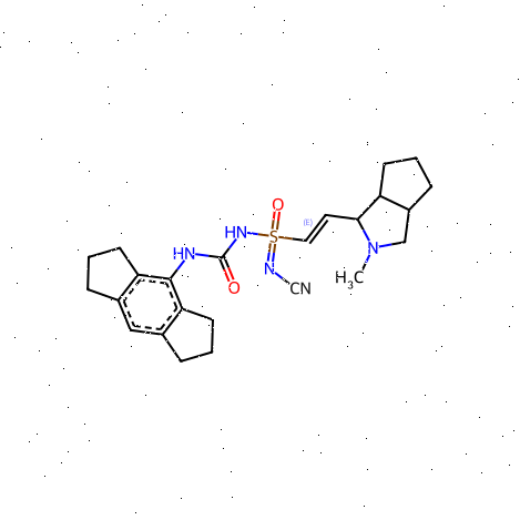 CN1CC2CCCC2C1/C=C/S(=O)(=NC#N)NC(=O)Nc1c2c(cc3c1CCC3)CCC2